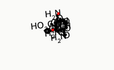 C[C@H](NC(=O)[C@H](C)NC(=O)[C@H](CCC(N)=O)NC(=O)CN)C(=O)N[C@@H](CCCCN)C(=O)N[C@@H](CCC(=O)O)C(=O)N[C@@H](Cc1ccccc1)C(=O)O